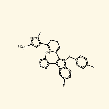 Cc1ccc(Sn2c(C3=CCCC(c4cc(C(=O)O)nn4C)=C3)c(-c3ccsc3C#N)c3cc(F)ccc32)cc1